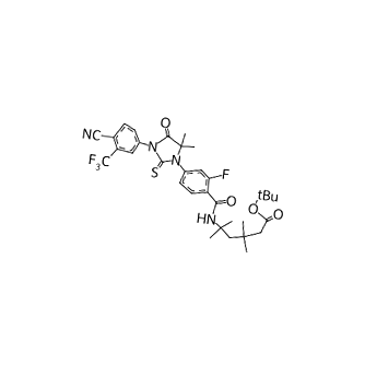 CC(C)(CC(=O)OC(C)(C)C)CC(C)(C)NC(=O)c1ccc(N2C(=S)N(c3ccc(C#N)c(C(F)(F)F)c3)C(=O)C2(C)C)cc1F